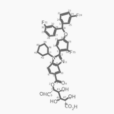 O=C[C@H](OC(=O)c1ccc2c(c1)nc(-c1ccc(OC(c3cccc(F)c3)c3cccc(F)c3)cc1F)n2C1CCCCC1)[C@@H](O)[C@H](O)[C@H](O)C(=O)O